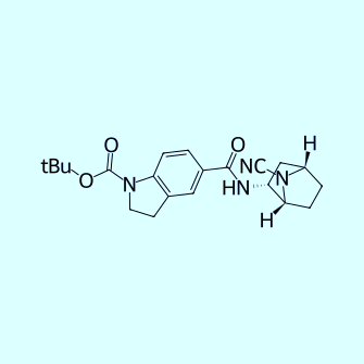 CC(C)(C)OC(=O)N1CCc2cc(C(=O)N[C@@H]3C[C@@H]4CC[C@H]3N4C#N)ccc21